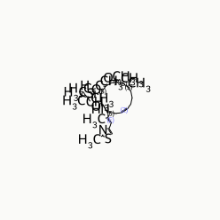 C/C(=C\c1csc(C)n1)[C@@H]1C/C=C\CCC[C@H](C)[C@H](C)[C@@H](C)C(=O)C(C)(C)[C@@H](O[Si](C)(C)C(C)(C)C)CC(=O)N1